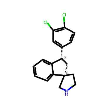 Clc1ccc([C@@H]2C[C@@]3(CCNC3)c3ccccc32)cc1Cl